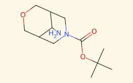 CC(C)(C)OC(=O)N1CC2COCC(C1)C2N